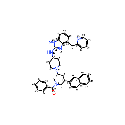 CN(CC(CCN1CCC(Nc2nc3c(Cc4ccccn4)cccc3[nH]2)CC1)c1ccc2ccccc2c1)C(=O)c1ccccc1